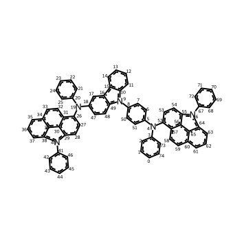 c1ccc(N(c2ccc(-n3c4ccccc4c4cc(N(c5ccccc5)c5ccc6c7c5ccc5cccc(c57)n6-c5ccccc5)ccc43)cc2)c2ccc3c4c2ccc2cccc(c24)n3-c2ccccc2)cc1